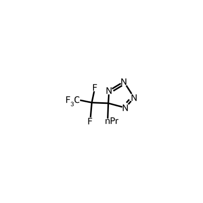 CCCC1(C(F)(F)C(F)(F)F)N=NN=N1